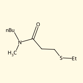 CCCCN(C)C(=O)CCSCC